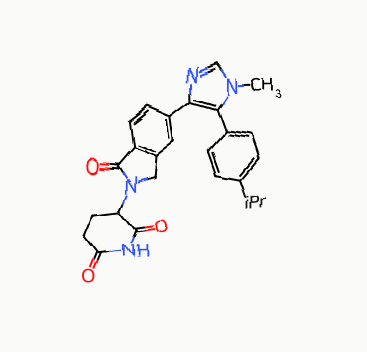 CC(C)c1ccc(-c2c(-c3ccc4c(c3)CN(C3CCC(=O)NC3=O)C4=O)ncn2C)cc1